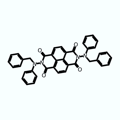 O=C1c2ccc3c4c(ccc(c24)C(=O)N1N(Cc1ccccc1)c1ccccc1)C(=O)N(N(Cc1ccccc1)c1ccccc1)C3=O